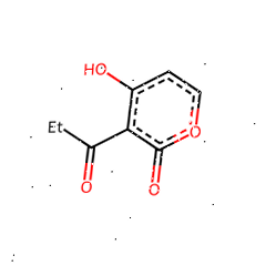 CCC(=O)c1c(O)ccoc1=O